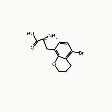 N[C@@H](Cc1ccc(Br)c2c1OCCC2)C(=O)O